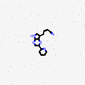 N#C/C=C\Cc1c[nH]c2ncc(-c3ccccn3)nc12